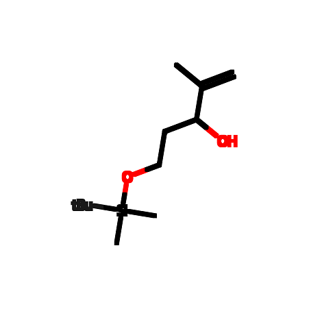 C=C(C)C(O)CCO[Si](C)(C)C(C)(C)C